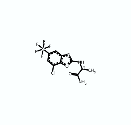 C[C@H](Nc1nc2cc(S(F)(F)(F)(F)F)cc(Cl)c2o1)C(N)=O